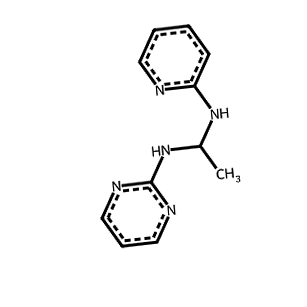 CC(Nc1ccccn1)Nc1ncccn1